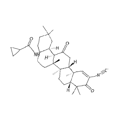 [C-]#[N+]C1=C[C@]2(C)[C@H]3CC(=O)[C@@H]4[C@@H]5CC(C)(C)CC[C@]5(NC(=O)C5CC5)CC[C@@]4(C)[C@]3(C)CC[C@H]2C(C)(C)C1=O